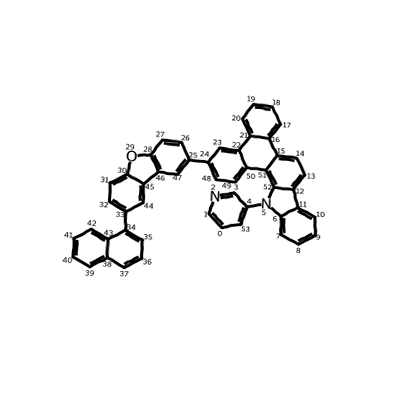 c1cncc(-n2c3ccccc3c3ccc4c5ccccc5c5cc(-c6ccc7oc8ccc(-c9cccc%10ccccc9%10)cc8c7c6)ccc5c4c32)c1